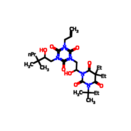 C=CCn1c(=O)n(CC(O)N2C(=O)N(C(C)(C)CC)C(=O)C(CC)(CC)C2=O)c(=O)n(CC(O)C(C)(C)CCC)c1=O